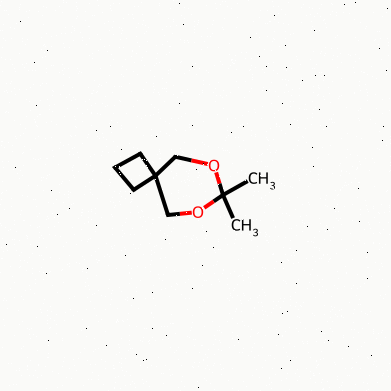 CC1(C)OCC2(CCC2)CO1